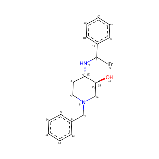 CC(C)C(N[C@H]1CCN(Cc2ccccc2)C[C@@H]1O)c1ccccc1